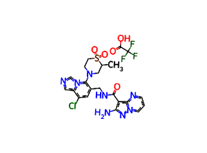 CC1CN(c2c(CNC(=O)c3c(N)nn4cccnc34)cc(Cl)c3cncn23)CCS1(=O)=O.O=C(O)C(F)(F)F